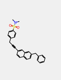 CN(C)S(=O)(=O)c1ccc(CC#Cc2ccc3ccc(Cc4ccccc4)cc3c2)cc1